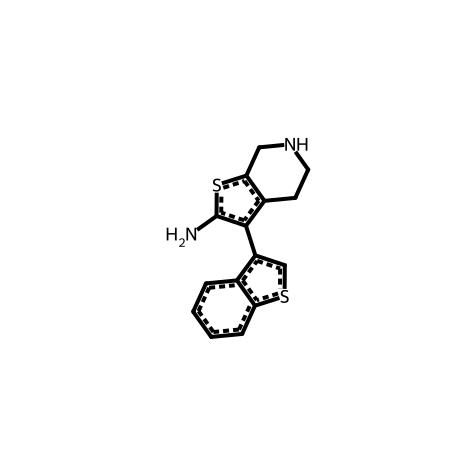 Nc1sc2c(c1-c1csc3ccccc13)CCNC2